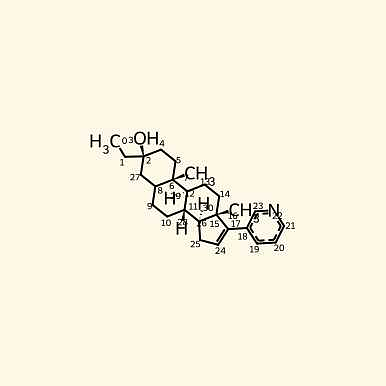 CC[C@]1(O)CC[C@@]2(C)C(CC[C@@H]3[C@@H]2CC[C@]2(C)C(c4cccnc4)=CC[C@@H]32)C1